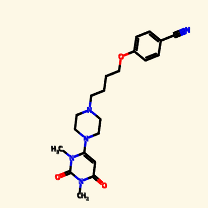 Cn1c(N2CCN(CCCCOc3ccc(C#N)cc3)CC2)cc(=O)n(C)c1=O